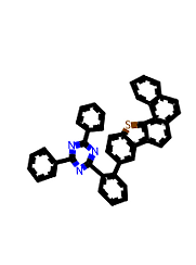 c1ccc(-c2nc(-c3ccccc3)nc(-c3ccccc3-c3ccc4sc5c(ccc6ccc7ccccc7c65)c4c3)n2)cc1